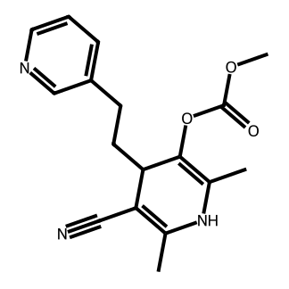 COC(=O)OC1=C(C)NC(C)=C(C#N)C1CCc1cccnc1